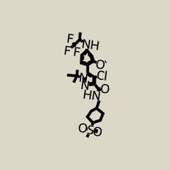 COc1cc(NC(C)C(F)(F)F)ccc1-c1c(Cl)c(C(=O)NCC2CCC(S(C)(=O)=O)CC2)nn1C(C)(C)C